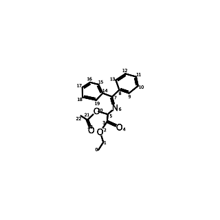 CCOC(=O)C(N=C(c1ccccc1)c1ccccc1)OC(C)=O